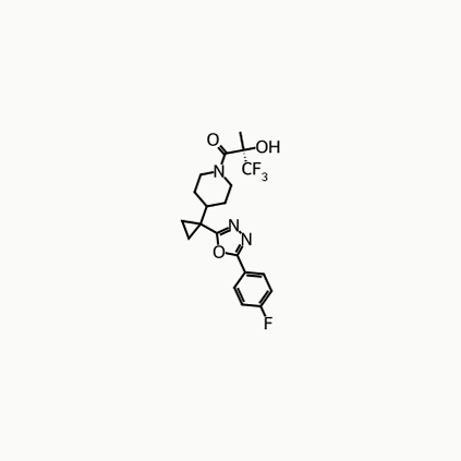 C[C@@](O)(C(=O)N1CCC(C2(c3nnc(-c4ccc(F)cc4)o3)CC2)CC1)C(F)(F)F